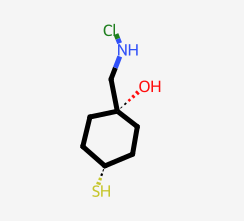 O[C@]1(CNCl)CC[C@H](S)CC1